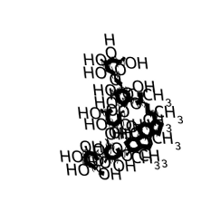 C[C@H](CC[C@@H](O[C@@H]1O[C@H](CO[C@@H]2O[C@H](CO)[C@@H](O)[C@H](O)[C@H]2O)[C@@H](O)[C@H](O)[C@H]1O[C@@H]1O[C@H](CO)[C@@H](O)[C@H](O)[C@H]1O)C(C)(C)O)C1CC[C@@]2(C)C3CC=C4C(CC[C@H](O[C@@H]5O[C@H](CO)[C@@H](O[C@@H]6O[C@H](CO)[C@@H](O)[C@H](O)[C@H]6O)[C@H](O)[C@H]5O)C4(C)C)[C@]3(C)C(=O)C[C@]12C